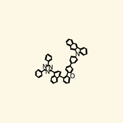 c1ccc(-c2nc(-c3ccccc3)nc(-c3ccc(-c4cccc5oc6cc(-c7ccc(-n8c9ccccc9c9cc%10ccccc%10cc98)cc7)ccc6c45)c4ccccc34)n2)cc1